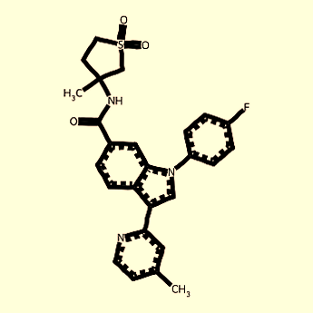 Cc1ccnc(-c2cn(-c3ccc(F)cc3)c3cc(C(=O)NC4(C)CCS(=O)(=O)C4)ccc23)c1